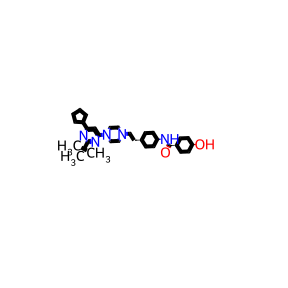 CC(C)(C)c1nc(C2CCCC2)cc(N2CCN(CC[C@H]3CC[C@@H](NC(=O)[C@H]4CC[C@@H](O)CC4)CC3)CC2)n1